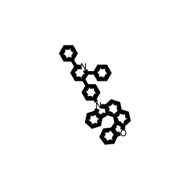 c1ccc(-c2ccc(-c3ccc(-n4c5ccccc5c5c6c(ccc7oc8ccccc8c76)ccc54)cc3)c(-c3ccccc3)n2)cc1